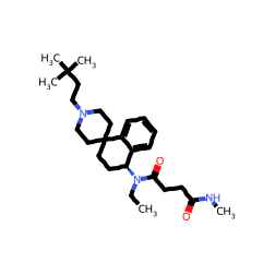 CCN(C(=O)CCC(=O)NC)[C@H]1CCC2(CCN(CCC(C)(C)C)CC2)c2ccccc21